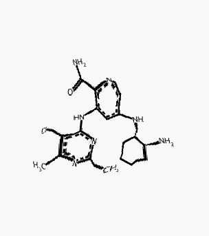 Cc1nc(C)c(Cl)c(Nc2cc(N[C@@H]3CCCC[C@@H]3N)cnc2C(N)=O)n1